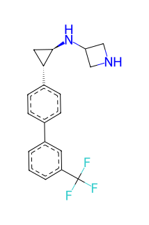 FC(F)(F)c1cccc(-c2ccc([C@@H]3C[C@H]3NC3CNC3)cc2)c1